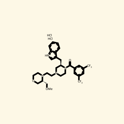 COC[C@@H]1COCCN1CCN1CCN(C(=O)c2cc(C(F)(F)F)cc(C(F)(F)F)c2)[C@H](Cc2c[nH]c3ccccc23)C1.Cl.Cl